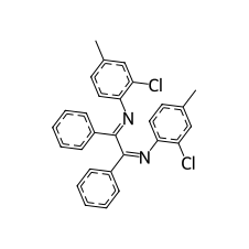 Cc1ccc(N=C(C(=Nc2ccc(C)cc2Cl)c2ccccc2)c2ccccc2)c(Cl)c1